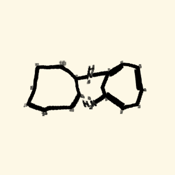 NC1=CCC=CC=C1NC1CCCCCCC1